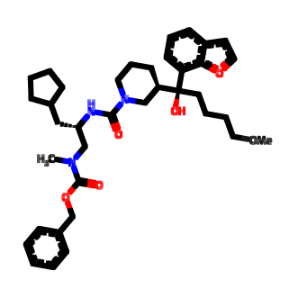 COCCCC[C@@](O)(c1cccc2ccoc12)[C@@H]1CCCN(C(=O)N[C@@H](CC2CCCC2)CN(C)C(=O)OCc2ccccc2)C1